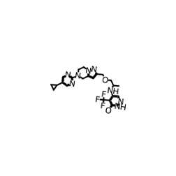 CC(COCc1cc2n(n1)CCN(c1ncc(C3CC3)cn1)C2)Nc1cn[nH]c(=O)c1C(F)(F)F